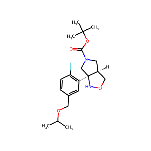 CC(C)OCc1ccc(F)c([C@]23CN(C(=O)OC(C)(C)C)C[C@H]2CON3)c1